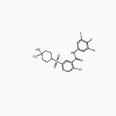 CC1(O)CCN(S(=O)(=O)c2ccc(Cl)c(C(=O)Nc3cc(F)c(F)c(F)c3)c2)CC1